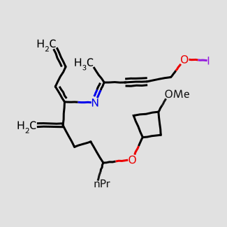 C=C/C=C(\N=C(/C)C#CCOI)C(=C)CCC(CCC)OC1CC(OC)C1